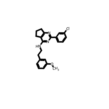 COc1cccc(CCNc2nc(-c3cccc(Cl)c3)nc3c2CCC3)c1